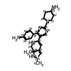 CN1C=C2C=C(c3cnc(N4CCC(N)CC4)nc3C3C=CC(N)=CC3)NC[C@]2(C)N1